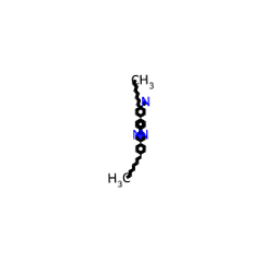 CCCCCCCC[C@H]1CC[C@H](c2cnc(-c3ccc([C@H]4CC[C@@](C#N)(CCCCCCCC)CC4)cc3)nc2)CC1